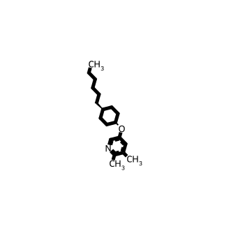 CCCCCC[C@H]1CC[C@H](Oc2cnc(C)c(C)c2)CC1